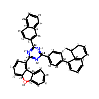 CC1CC=Cc2cccc(-c3ccc(-c4nc(-c5ccc6ccccc6c5)nc(-c5cccc6oc7ccccc7c56)n4)cc3)c21